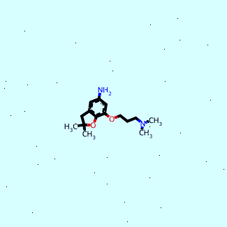 CN(C)CCCOc1cc(N)cc2c1OC(C)(C)C2